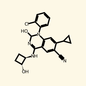 N#Cc1cc2c(cc1C1CC1)N(c1ccccc1Cl)C(O)N=C2N[C@@H]1CC[C@H]1O